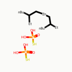 CCCCC(CC)[CH2][Zn][CH2]C(CC)CCCC.O=P(O)(O)S.O=P(O)(O)S